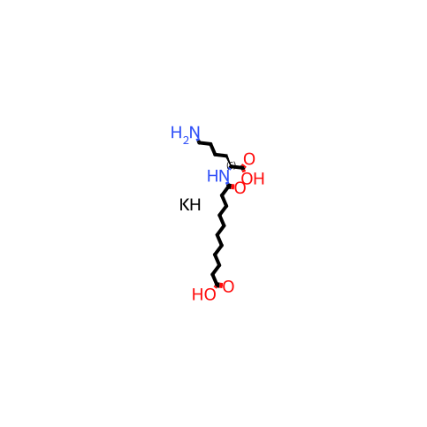 NCCCC[C@H](NC(=O)CCCCCCCCCC(=O)O)C(=O)O.[KH]